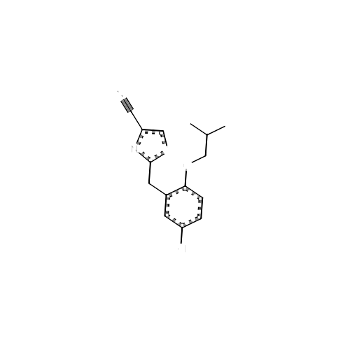 CC(C)COc1ccc(Cl)cc1Cc1nc(C#N)cs1